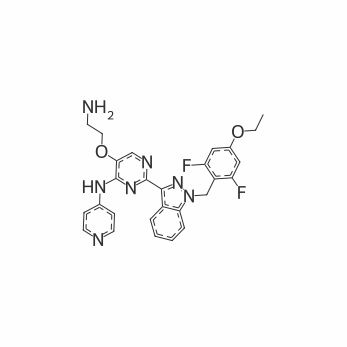 CCOc1cc(F)c(Cn2nc(-c3ncc(OCCN)c(Nc4ccncc4)n3)c3ccccc32)c(F)c1